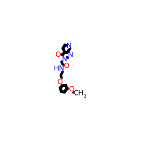 CCOc1cccc(OCCCNC(=O)Cn2cnc3cnccc3c2=O)c1